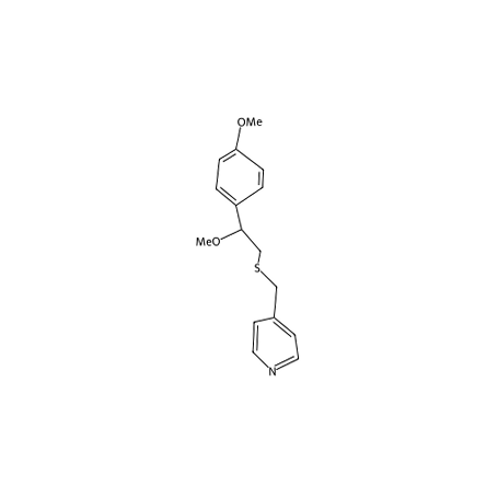 COc1ccc(C(CSCc2ccncc2)OC)cc1